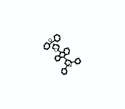 O=P(c1ccccc1)(c1ccccc1)c1ccc(-c2c3ccccc3c(-c3cc(-c4ccccc4)nc(-c4ccccc4)c3)c3ccccc23)cc1